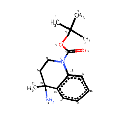 CC(C)(C)OC(=O)N1CCC(C)(N)c2ccccc21